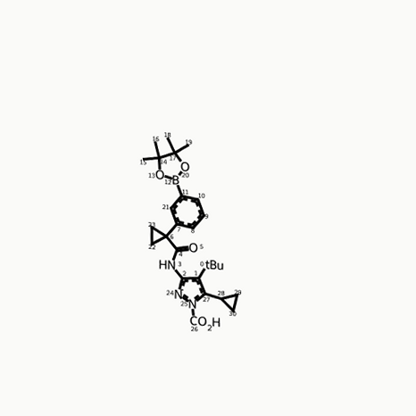 CC(C)(C)c1c(NC(=O)C2(c3cccc(B4OC(C)(C)C(C)(C)O4)c3)CC2)nn(C(=O)O)c1C1CC1